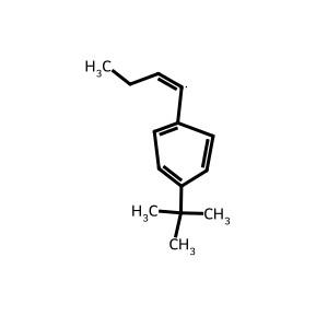 CC/C=[C]\c1ccc(C(C)(C)C)cc1